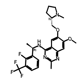 COc1cc2nc(C)nc(N[C@H](C)c3cccc(C(F)(F)F)c3F)c2cc1OC[C@@H]1CCCN1C